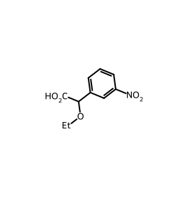 CCOC(C(=O)O)c1cccc([N+](=O)[O-])c1